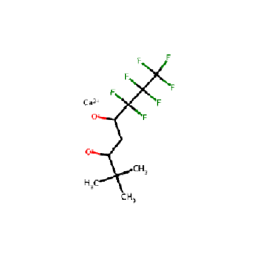 CC(C)(C)C([O-])CC([O-])C(F)(F)C(F)(F)C(F)(F)F.[Ca+2]